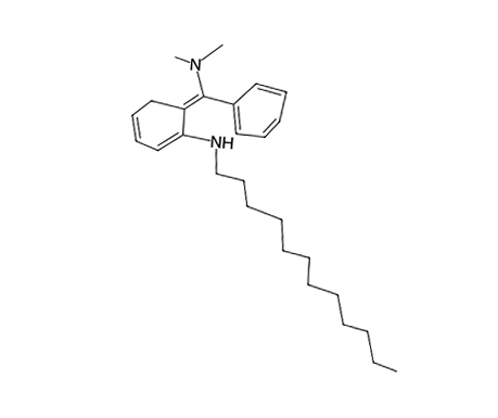 CCCCCCCCCCCCNC1=CC=CCC1=C(c1ccccc1)N(C)C